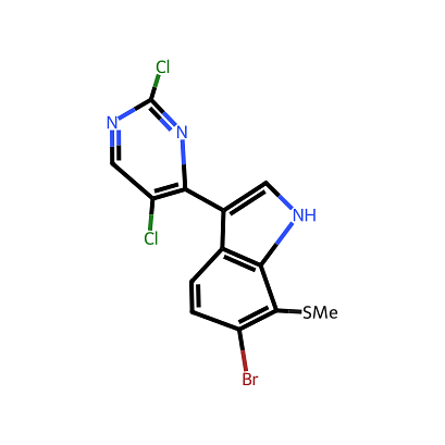 CSc1c(Br)ccc2c(-c3nc(Cl)ncc3Cl)c[nH]c12